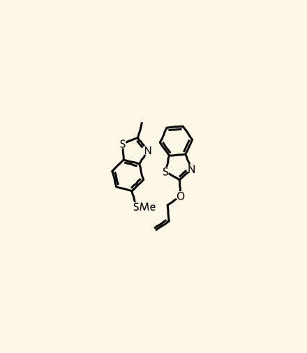 C=CCOc1nc2ccccc2s1.CSc1ccc2sc(C)nc2c1